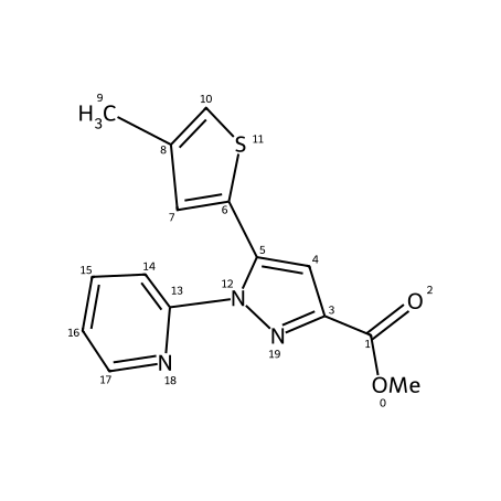 COC(=O)c1cc(-c2cc(C)cs2)n(-c2ccccn2)n1